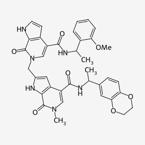 COc1ccccc1C(C)NC(=O)c1cn(Cc2cc3c(C(=O)NC(C)c4ccc5c(c4)OCCO5)cn(C)c(=O)c3[nH]2)c(=O)c2[nH]ccc12